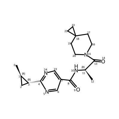 C[C@@H]1C[C@H]1c1ncc(C(=O)N[C@H](C)C(=O)N2CCC3(CC2)CC3)cn1